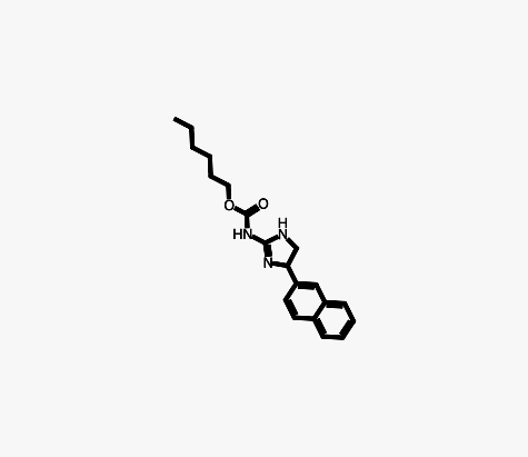 CCCCCCOC(=O)NC1=NC(c2ccc3ccccc3c2)CN1